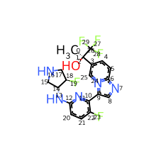 C[C@@](O)(c1ccc2ncc(-c3nc(N[C@@H]4CNC[C@H]4F)ccc3F)n2c1)C(F)(F)F